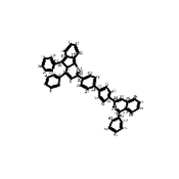 C1=C(c2ccccc2)C2C(=c3ccccc3=C2c2ccccc2)N=C1c1ccc(-c2ccc(-c3cc4ccccc4c(-c4ccccc4)n3)cc2)cc1